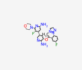 C[C@@H](Oc1cc(-c2cc(N)nc(N3CCOCC3)c2F)cnc1N)c1cc(F)ccc1-n1nccn1